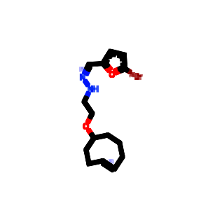 [76Br]c1ccc(/C=N\NCCOC2CC/C=C/CCC2)o1